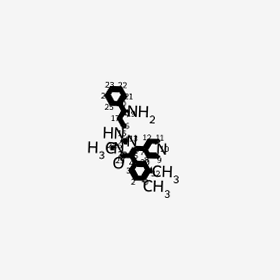 Cc1ccc(-c2c(-c3ccncc3)nc(NCC[C@H](N)c3ccccc3)n(C)c2=O)cc1C